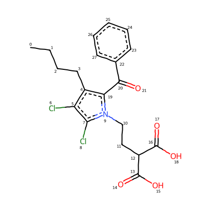 CCCCc1c(Cl)c(Cl)n(CCC(C(=O)O)C(=O)O)c1C(=O)c1ccccc1